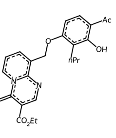 CCCc1c(OCc2cccn3c(=O)c(C(=O)OCC)cnc23)ccc(C(C)=O)c1O